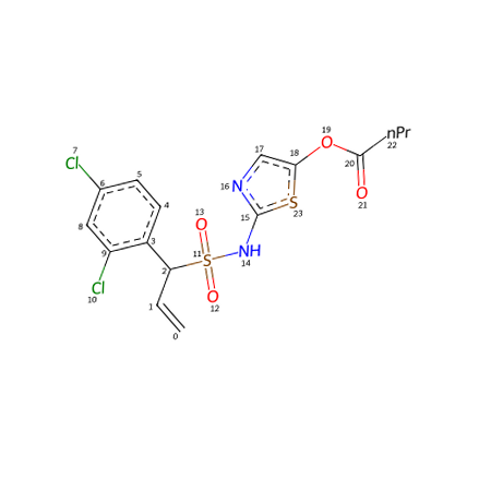 C=CC(c1ccc(Cl)cc1Cl)S(=O)(=O)Nc1ncc(OC(=O)CCC)s1